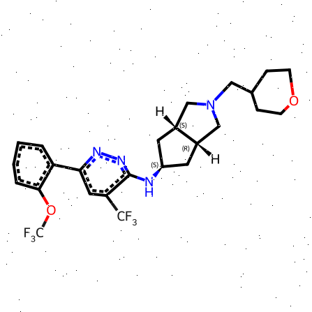 FC(F)(F)Oc1ccccc1-c1cc(C(F)(F)F)c(N[C@H]2C[C@@H]3CN(CC4CCOCC4)C[C@@H]3C2)nn1